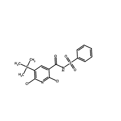 C[Si](C)(C)c1cc(C(=O)NS(=O)(=O)c2ccccc2)c(Cl)nc1Cl